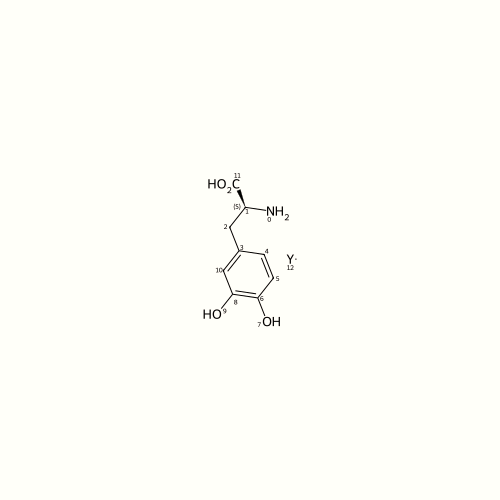 N[C@@H](Cc1ccc(O)c(O)c1)C(=O)O.[Y]